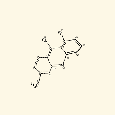 Cc1ccc2c(Cl)c3c(Br)cccc3nc2c1